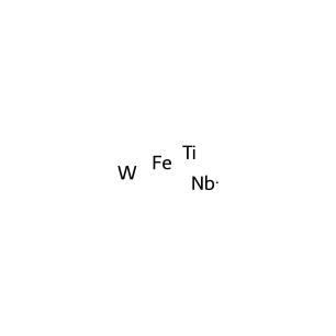 [Fe].[Nb].[Ti].[W]